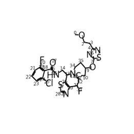 COCCc1nsc(OC2CCN(C(CNC(=O)c3c(F)cccc3Cl)c3scnc3C(F)F)CC2)n1